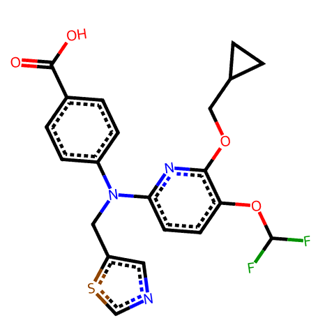 O=C(O)c1ccc(N(Cc2cncs2)c2ccc(OC(F)F)c(OCC3CC3)n2)cc1